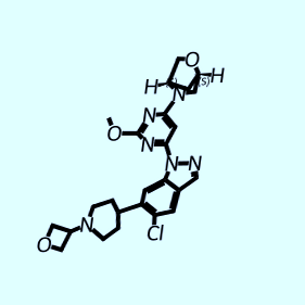 COc1nc(N2C[C@@H]3C[C@H]2CO3)cc(-n2ncc3cc(Cl)c(C4CCN(C5COC5)CC4)cc32)n1